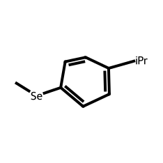 C[Se]c1ccc(C(C)C)cc1